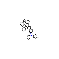 Cc1ccc(N(c2ccccc2)c2ccc3cc4c(cc3c2)C2(c3ccccc3-c3ccccc32)c2c-4ccc3ccccc23)cc1